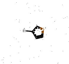 CCc1c#csc1